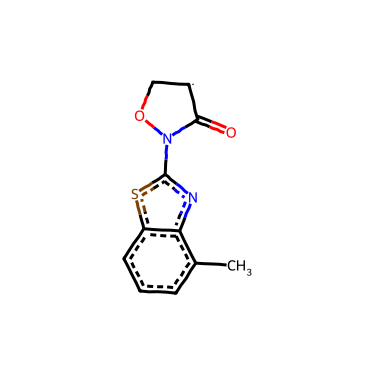 Cc1cccc2sc(N3OC[CH]C3=O)nc12